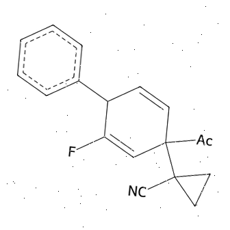 CC(=O)C1(C2(C#N)CC2)C=CC(c2ccccc2)C(F)=C1